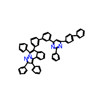 c1ccc(-c2ccc(-c3cc(-c4cccc(-c5cccc(-c6c(-c7ccccc7)n7nc(-c8ccccc8)c(-c8ccccc8)c7c7ccccc67)c5)c4)nc(-c4ccccc4)n3)cc2)cc1